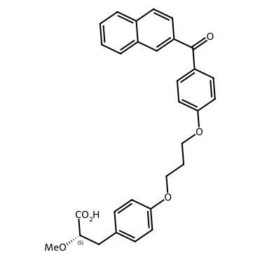 CO[C@@H](Cc1ccc(OCCCOc2ccc(C(=O)c3ccc4ccccc4c3)cc2)cc1)C(=O)O